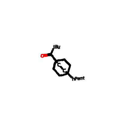 CCCCCC12CCC(C(=O)C(C)(C)C)(CC1)CC2